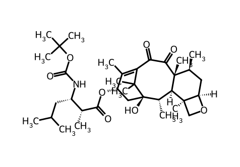 CC1=C2C(=O)C(=O)[C@@]3(C)[C@H]([C@H](C)[C@](O)(C[C@@H]1OC(=O)[C@H](C)[C@H](CC(C)C)NC(=O)OC(C)(C)C)C2(C)C)[C@]1(C)CO[C@@H]1C[C@@H]3C